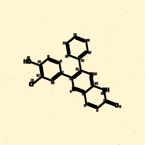 O=c1ccc2nc(-c3ccc(O)c(Cl)c3)c(-c3ccccc3)nc2[nH]1